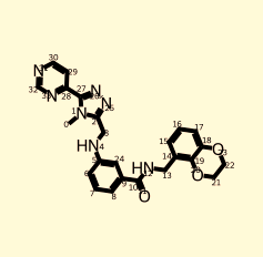 Cn1c(CNc2cccc(C(=O)NCc3cccc4c3OCCO4)c2)nnc1-c1ccncn1